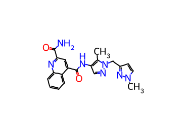 Cc1c(NC(=O)c2cc(C(N)=O)nc3ccccc23)cnn1Cc1ccn(C)n1